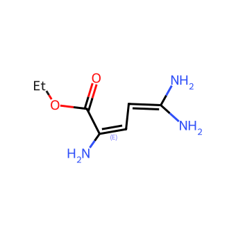 CCOC(=O)/C(N)=C\C=C(N)N